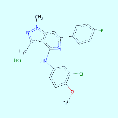 COc1ccc(Nc2nc(-c3ccc(F)cc3)cc3c2c(C)nn3C)cc1Cl.Cl